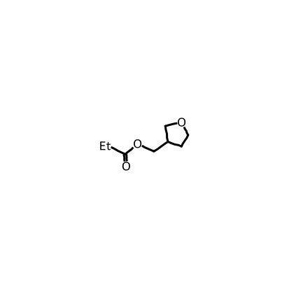 CCC(=O)OCC1CCOC1